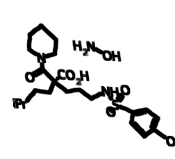 COc1ccc(S(=O)(=O)NCCC[C@](CCC(C)C)(C(=O)O)C(=O)N2CCCCC2)cc1.NO